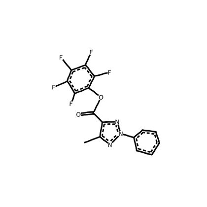 Cc1nn(-c2ccccc2)nc1C(=O)Oc1c(F)c(F)c(F)c(F)c1F